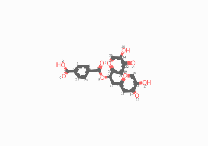 O=C(O)c1ccc(C(=O)OC(Cc2cc(=O)c(O)co2)c2cc(=O)c(O)co2)cc1